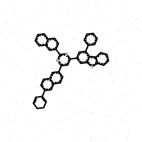 C1=CC(c2ccc3cc(-c4cc(-c5cc(-c6ccccc6)c6c(c5)sc5ccccc56)nc(-c5ccc6ccccc6c5)n4)ccc3c2)=CCC1